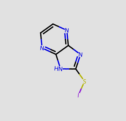 ISc1nc2nccnc2[nH]1